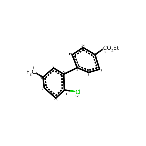 CCOC(=O)c1ccc(-c2cc(C(F)(F)F)ccc2Cl)cc1